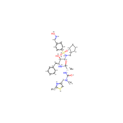 CC[C@H](C)[C@H](NC(=O)N(C)Cc1csc(C(C)C)n1)C(=O)N[C@@H](Cc1ccccc1)[C@@H](O)CN(CC1CCCC1)S(=O)(=O)c1ccc(C=NO)cc1